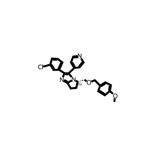 COc1ccc(COC[C@@H]2CCc3nc(-c4cccc(Cl)c4)c(-c4ccncc4)n32)cc1